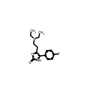 CCN(CC)CCc1oc(=O)[nH]c1-c1ccc(F)cc1